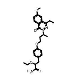 CCOC(Cc1ccc(OCCC(C)n2nc(CC)c3cc(OC)ccc3c2=O)cc1)C(N)=O